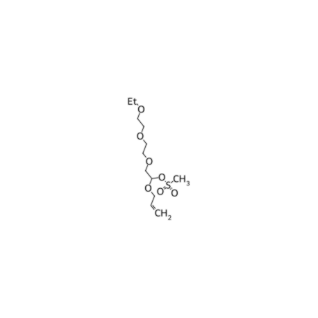 C=CCOC(COCCOCCOCC)OS(C)(=O)=O